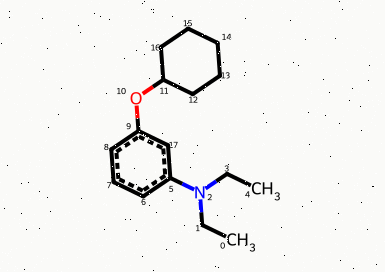 CCN(CC)c1cccc(OC2CCCCC2)c1